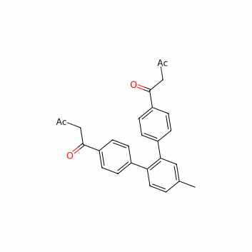 CC(=O)CC(=O)c1ccc(-c2ccc(C)cc2-c2ccc(C(=O)CC(C)=O)cc2)cc1